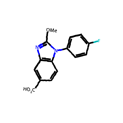 COc1nc2cc(C(=O)O)ccc2n1-c1ccc(F)cc1